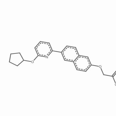 O=C(O)COc1ccc2cc(-c3cccc(OC4CCCC4)n3)ccc2c1